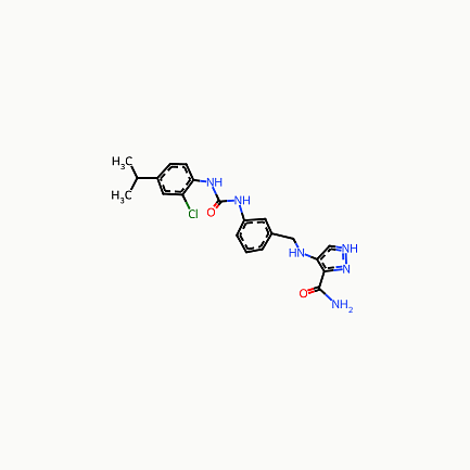 CC(C)c1ccc(NC(=O)Nc2cccc(CNc3c[nH]nc3C(N)=O)c2)c(Cl)c1